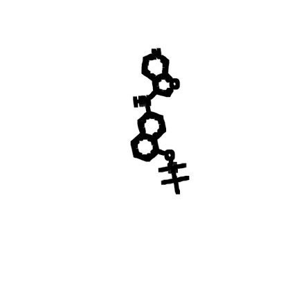 CC(C)(C)[Si](C)(C)Oc1cccc2cc(Nc3coc4cnccc34)ccc12